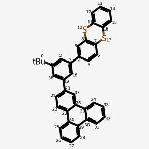 CC(C)(C)c1cc(-c2ccc3c(c2)Sc2ccccc2S3)cc(-c2ccc3c4ccccc4c4ccccc4c3c2)c1